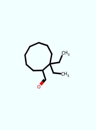 CCC1(CC)CCCCCCCC1C=O